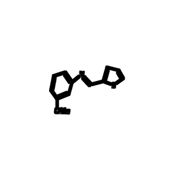 COc1cccc(N=Cc2cccs2)c1